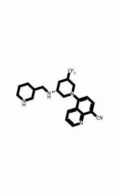 N#Cc1ccc(N2CC(C(F)(F)F)C[C@@H](NCC3CCCNC3)C2)c2cccnc12